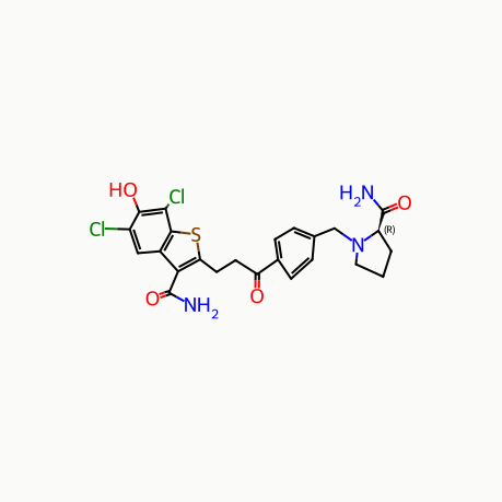 NC(=O)c1c(CCC(=O)c2ccc(CN3CCC[C@@H]3C(N)=O)cc2)sc2c(Cl)c(O)c(Cl)cc12